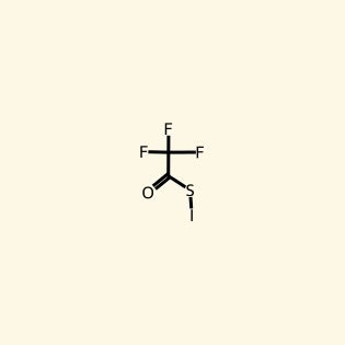 O=C(SI)C(F)(F)F